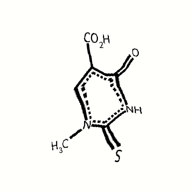 Cn1cc(C(=O)O)c(=O)[nH]c1=S